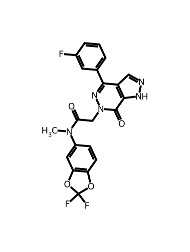 CN(C(=O)Cn1nc(-c2cccc(F)c2)c2cn[nH]c2c1=O)c1ccc2c(c1)OC(F)(F)O2